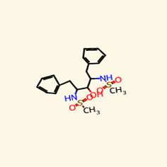 CS(=O)(=O)NC(Cc1ccccc1)C(O)C(Cc1ccccc1)NS(C)(=O)=O